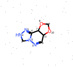 C1=NN2CNN=C2C2OCOC12